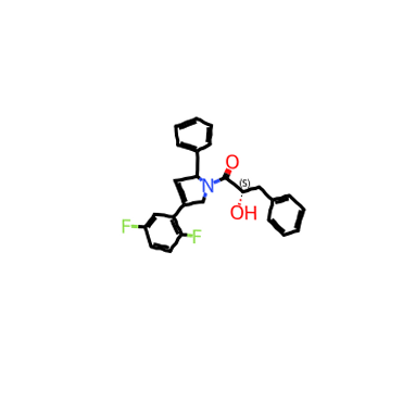 O=C([C@@H](O)Cc1ccccc1)N1CC(c2cc(F)ccc2F)=CC1c1ccccc1